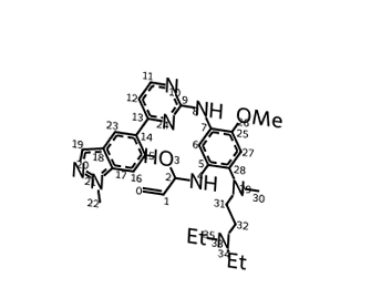 C=CC(O)Nc1cc(Nc2nccc(-c3ccc4c(cnn4C)c3)n2)c(OC)cc1N(C)CCN(CC)CC